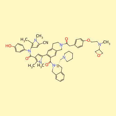 Cc1c(N(C(=O)c2cc(-c3cc4c(cc3C(=O)N3Cc5ccccc5C[C@H]3CN3CCCCC3)CN(C(=O)Cc3ccc(OCCN(C)C5COC5)cc3)CC4)n(C)c2C)c2ccc(O)cc2)cc(C#N)n1C